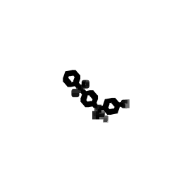 NN(c1ccc(Cl)cc1)c1ccc(S(=O)(=O)c2ccccc2)cc1